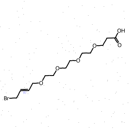 O=C(O)CCOCCOCCOCCOC/C=C/CBr